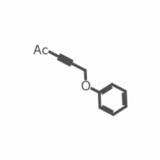 CC(=O)C#CCOc1ccccc1